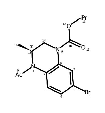 CC(=O)N1c2ccc(Br)cc2N(C(=O)OC(C)C)C[C@@H]1C